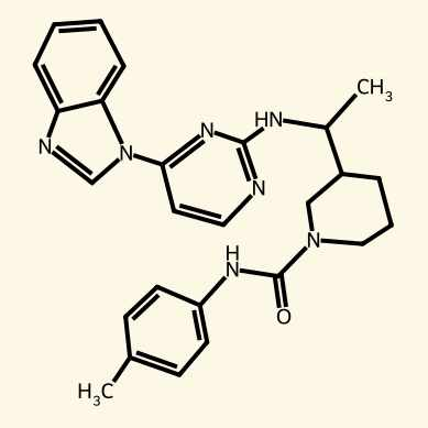 Cc1ccc(NC(=O)N2CCCC(C(C)Nc3nccc(-n4cnc5ccccc54)n3)C2)cc1